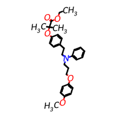 CCOC(=O)C(C)(C)Oc1ccc(CCN(CCCOc2ccc(OC)cc2)c2ccccc2)cc1